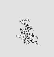 CNCCn1c(C23CC[C@]4(C)C(CCC5C6(C)CCC(OC(=O)CC(C)(C)C=O)C(C)(C)C6CCC54C)C2=C(C(C)C)C(=O)C3)c(C)c(=O)n1-c1ccc(OC)cn1